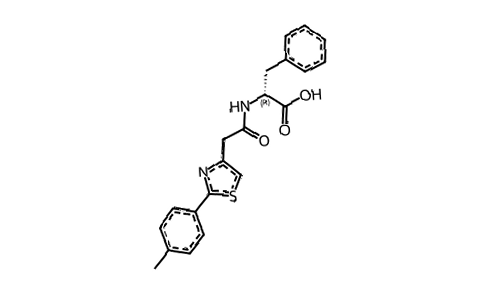 Cc1ccc(-c2nc(CC(=O)N[C@H](Cc3ccccc3)C(=O)O)cs2)cc1